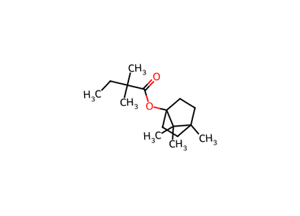 CCC(C)(C)C(=O)OC12CCC(C)(CC1)C2(C)C